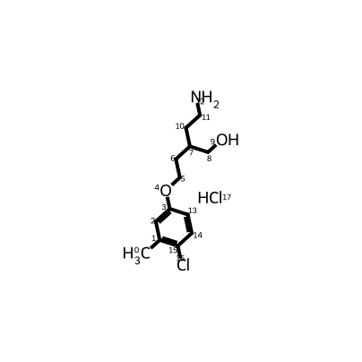 Cc1cc(OCCC(CO)CCN)ccc1Cl.Cl